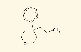 CCCC1(c2ccccc2)CCOCC1